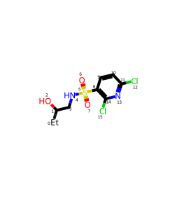 CCC(O)CNS(=O)(=O)c1ccc(Cl)nc1Cl